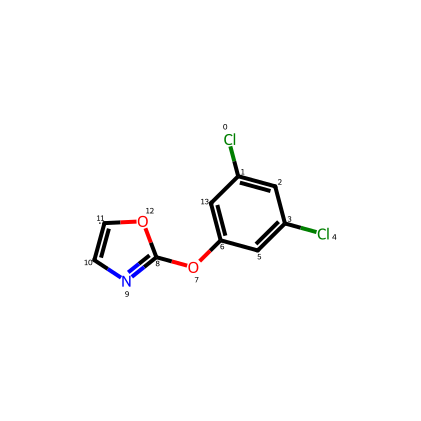 Clc1cc(Cl)cc(Oc2nc[c]o2)c1